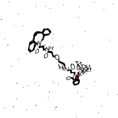 CCO[Si](CCCC1C2C=CC1C1C(=O)N(CCC(=O)NCCOCCC(=O)NCCC(=O)N3Cc4ccccc4C#Cc4ccccc43)C(=O)C21)(OCC)OCC